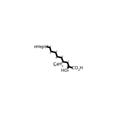 CCCCCCCCCCCCCCC(O)C(=O)O.[CaH2]